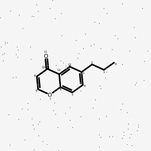 CCCc1ccc2occc(=O)c2c1